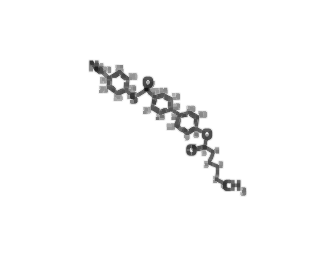 CCCCCC(=O)Oc1ccc(-c2ccc(C(=O)Sc3ccc(C#N)cc3)cc2)cc1